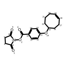 O=C(ON1C(=O)CCC1=O)c1ccc(OC2CCC=CCCC2)cc1